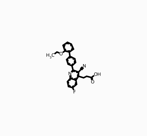 CCOc1ccccc1-c1ccc(-c2nc3ccc(F)cc3c(CCC(=O)O)c2C#N)cc1